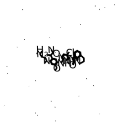 C=C(C(N)=O)c1cc(Nc2ncc(Cl)c(-n3c(=O)n4c5c(cccc53)CCC4)n2)c(OC)cc1N(C)CCN(C)C